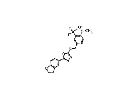 C[S+]([O-])c1ccc(CSc2nnc(-c3ccc4c(c3)CCO4)o2)cc1C(F)(F)F